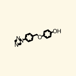 Oc1ccc(OCc2ccc(-n3cncn3)cc2)cc1